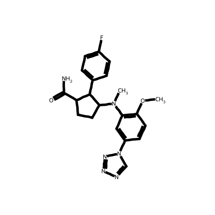 COc1ccc(-n2cnnn2)cc1N(C)C1CCC(C(N)=O)C1c1ccc(F)cc1